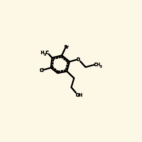 CCOc1c(CCO)cc(Cl)c(C)c1Br